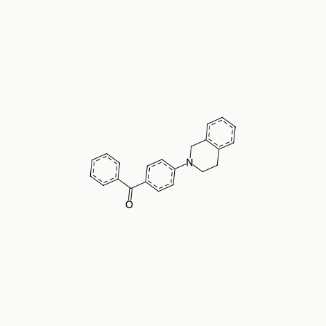 O=C(c1ccccc1)c1ccc(N2CCc3ccccc3C2)cc1